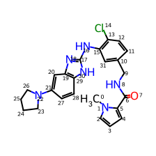 Cn1cccc1C(=O)NCc1ccc(Cl)c(Nc2nc3cc(N4CCCC4)ccc3[nH]2)c1